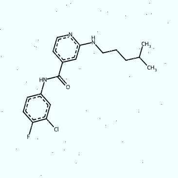 CC(C)CCCNc1cc(C(=O)Nc2ccc(F)c(Cl)c2)ccn1